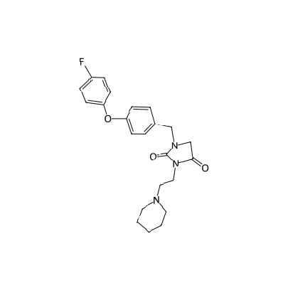 O=C1CN(Cc2ccc(Oc3ccc(F)cc3)cc2)C(=O)N1CCN1CCCCC1